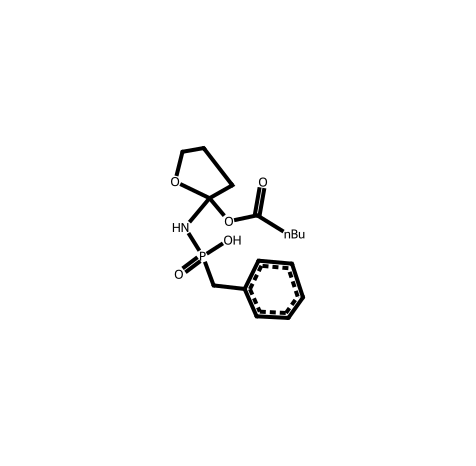 CCCCC(=O)OC1(NP(=O)(O)Cc2ccccc2)CCCO1